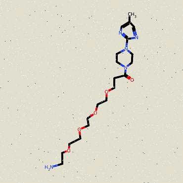 Cc1cnc(N2CCN(C(=O)CCOCCOCCOCCOCCN)CC2)nc1